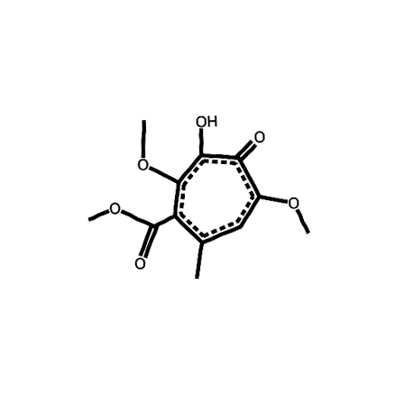 COC(=O)c1c(C)cc(OC)c(=O)c(O)c1OC